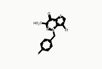 CCc1csc2c(=O)c(C(=O)O)nn(Cc3ccc(I)cc3)c12